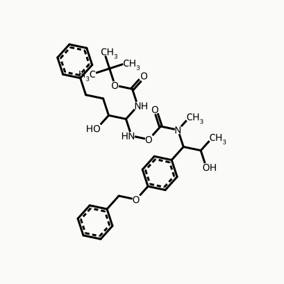 CC(O)C(c1ccc(OCc2ccccc2)cc1)N(C)C(=O)ONC(NC(=O)OC(C)(C)C)C(O)CCc1ccccc1